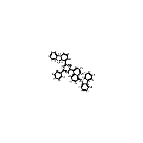 C1=CC2c3ccccc3OC2C(c2nc(-c3ccccc3)nc(-c3cccc4c(-n5c6ccccc6c6ccccc65)cccc34)n2)=C1